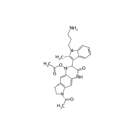 CC(=O)ON1c2cc3c(cc2NC(=O)C1c1c(C)n(CCCN)c2ccccc12)N(C(C)=O)CC3